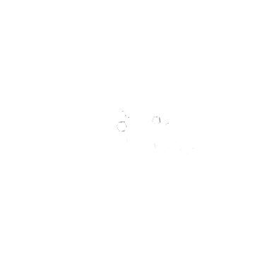 CCCCCC(O)c1ccc(N2C(=O)CC[C@@H]2CCCc2ccc(C(=O)OC[C@H]3OC(C)(C)O[C@@H]3CO)s2)cc1